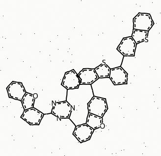 c1ccc(-c2nc(-c3cccc4c3oc3ccccc34)nc(-c3cccc4oc5ccc(-c6cccc7sc8c(-c9ccc%10c(c9)sc9ccccc9%10)cccc8c67)cc5c34)n2)cc1